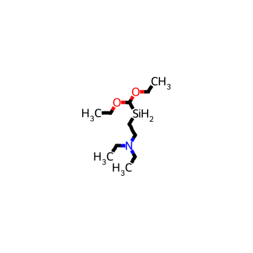 CCOC(OCC)[SiH2]CCN(CC)CC